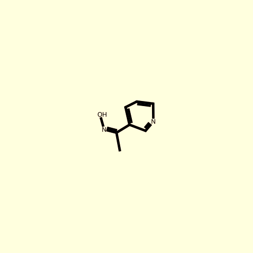 C/C(=N/O)c1cccnc1